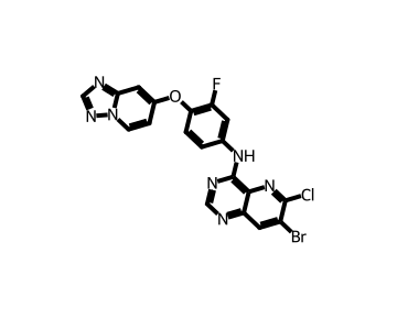 Fc1cc(Nc2ncnc3cc(Br)c(Cl)nc23)ccc1Oc1ccn2ncnc2c1